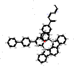 C=C(/C=C\C=C/C)c1ccc(-c2cc(-c3ccc(-c4ccccc4)cc3)nc(-n3c4ccccc4c4ccc5c6ccccc6n(-c6ccccc6)c5c43)n2)cc1